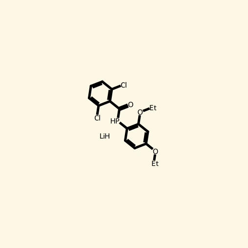 CCOc1ccc(PC(=O)c2c(Cl)cccc2Cl)c(OCC)c1.[LiH]